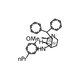 CCCc1ccc(OC)c(N[C@H]2C3CCN(CC3)[C@@]2(C)C(c2ccccc2)c2ccccc2)c1